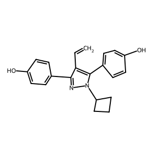 C=Cc1c(-c2ccc(O)cc2)nn(C2CCC2)c1-c1ccc(O)cc1